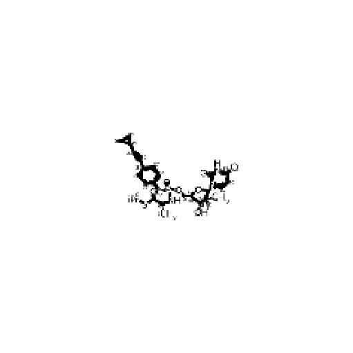 CC(C)SC(=O)[C@H](C)NP(=O)(OC[C@H]1O[C@@H](n2ccc(=O)[nH]c2=O)[C@](C)(F)[C@@H]1O)Oc1ccc(C#CC2CC2)cc1